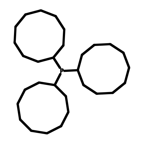 C1CCCCC(P(C2CCCCCCCCC2)C2CCCCCCCCC2)CCCC1